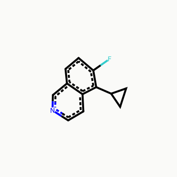 Fc1ccc2cnccc2c1C1CC1